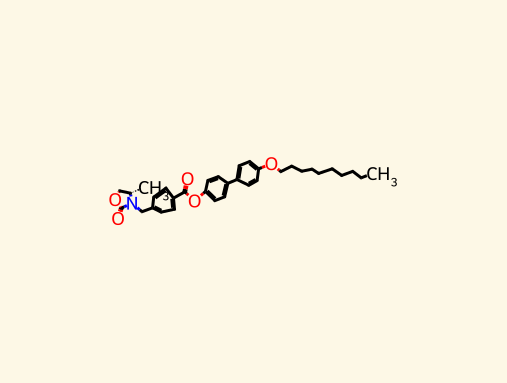 CCCCCCCCCCOc1ccc(-c2ccc(OC(=O)c3ccc(CN4C(=O)OC[C@@H]4C)cc3)cc2)cc1